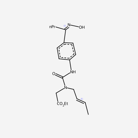 C/C=C/CN(CC(=O)OCC)C(=O)Nc1ccc(/C(CCC)=N\O)cc1